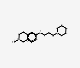 CC(C)N1CCc2cc(OCCCN3CCCCC3)ccc2C1